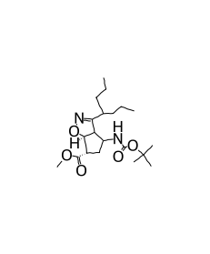 CCCC(CCC)C1=NO[C@H]2C1C(NC(=O)OC(C)(C)C)C[C@@H]2C(=O)OC